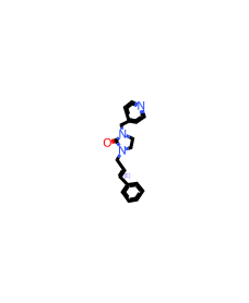 O=C1N(C/C=C/c2ccccc2)CCN1Cc1ccncc1